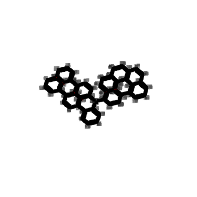 c1ccc(-c2ccc(-c3ccccc3N(c3ccc(-c4ccccc4)cc3)c3ccc(-c4cccc5ccc6ccc7ccccc7c6c45)cc3)cc2)cc1